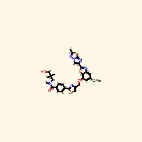 COc1cc(OCc2csc(-c3ccc(C(=O)N(C)CC(C)(C)CO)cc3)n2)c2sc(-c3cn4nc(C)sc4n3)nc2c1